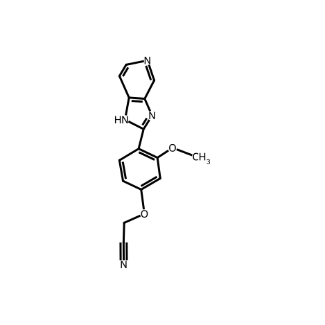 COc1cc(OCC#N)ccc1-c1nc2cnccc2[nH]1